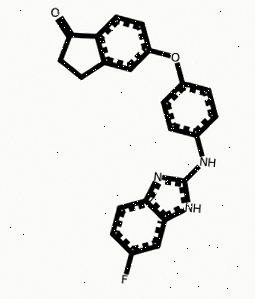 O=C1CCc2cc(Oc3ccc(Nc4nc5ccc(F)cc5[nH]4)cc3)ccc21